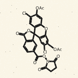 CC(=O)Oc1cc2c(cc1Cl)C1(OC(=O)c3ccc(C(=O)ON4C(=O)CCC4=O)cc31)c1cc(Cl)c(OC(C)=O)cc1O2